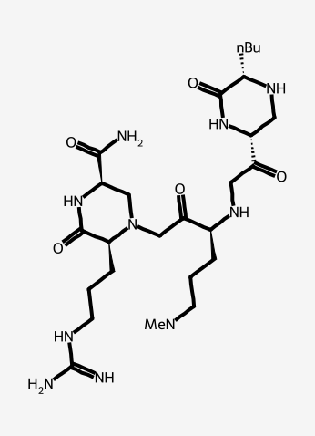 CCCC[C@@H]1NC[C@H](C(=O)CN[C@@H](CCCNC)C(=O)CN2C[C@H](C(N)=O)NC(=O)[C@@H]2CCCNC(=N)N)NC1=O